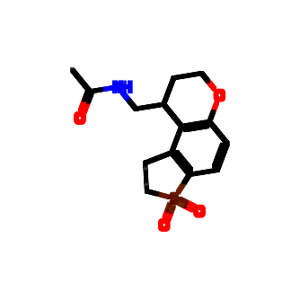 CC(=O)NCC1CCOc2ccc3c(c21)CCS3(=O)=O